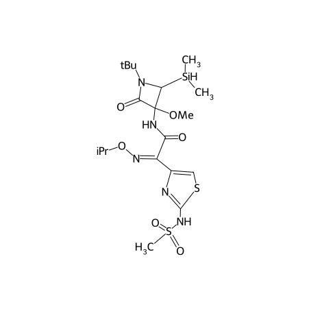 COC1(NC(=O)C(=NOC(C)C)c2csc(NS(C)(=O)=O)n2)C(=O)N(C(C)(C)C)C1[SiH](C)C